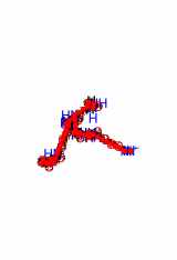 [N-]=[N+]=NCCOCCOCCOCCNC(=O)c1ccc(NNc2cc(CCNC(=O)C(Cc3cn(CCOCCOCCOCCNC(=O)c4ccc(C(=O)c5ccccc5)cc4)nn3)NC(=O)CCCCC3SC[C@@H]4NC(=O)N[C@H]34)ccc2O)cc1